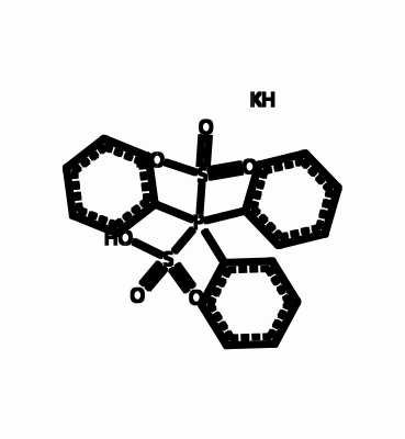 O=S(=O)(O)P(c1ccccc1)(c1ccccc1)(c1ccccc1)S(=O)(=O)O.[KH]